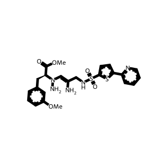 COC(=O)[C@H](Cc1cccc(OC)c1)N(N)/C=C(\N)CNS(=O)(=O)c1ccc(-c2ccccn2)s1